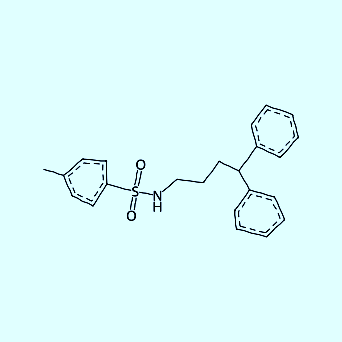 Cc1ccc(S(=O)(=O)NCCCC(c2ccccc2)c2ccccc2)cc1